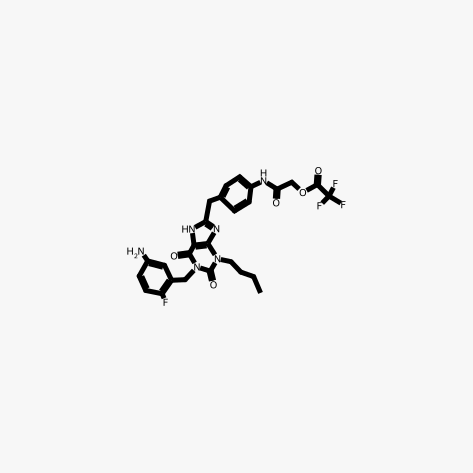 CCCCn1c(=O)n(Cc2cc(N)ccc2F)c(=O)c2[nH]c(Cc3ccc(NC(=O)COC(=O)C(F)(F)F)cc3)nc21